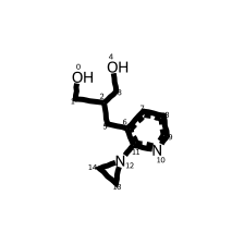 OCC(CO)Cc1cccnc1N1CC1